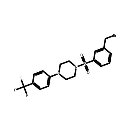 O=S(=O)(c1cccc(CBr)c1)N1CCN(c2ccc(C(F)(F)F)cc2)CC1